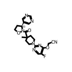 CC1(C(=O)N2OCC[C@H]2c2cncnc2)CCN(c2ncc(F)c(OCC#N)n2)CC1